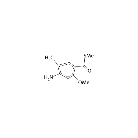 COc1cc(N)c(C)cc1C(=O)SC